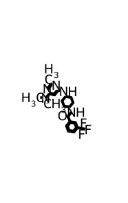 Cc1nc(NC2CCC(NC(=O)c3cccc(C(F)(F)F)c3)CC2)cc(N(C)C)n1